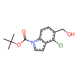 CC(C)(C)OC(=O)n1ccc2c(Cl)c(CO)ccc21